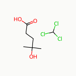 CC(C)(O)CCC(=O)O.ClC(Cl)Cl